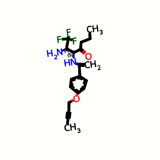 C=C(N[C@H](C(=O)CCC)[C@@H](N)C(F)(F)F)c1ccc(OCC#CC)cc1